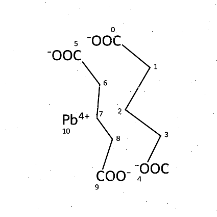 O=C([O-])CCCC(=O)[O-].O=C([O-])CCCC(=O)[O-].[Pb+4]